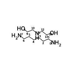 NCCCCCCN.OCCNCCO